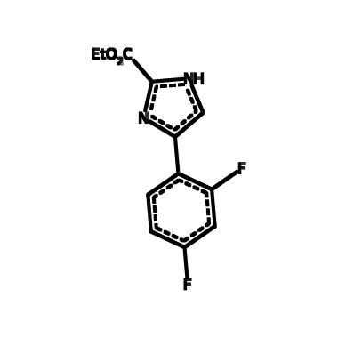 CCOC(=O)c1nc(-c2ccc(F)cc2F)c[nH]1